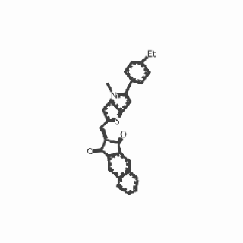 CCc1ccc(-c2cc3sc(C=C4C(=O)c5cc6ccccc6cc5C4=O)cc3n2C)cc1